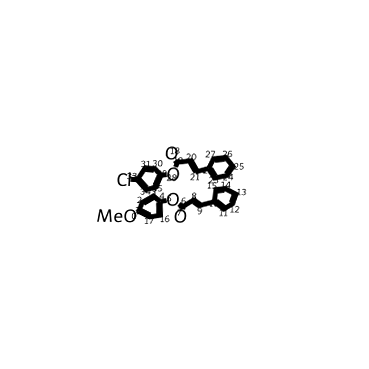 COc1ccc(OC(=O)C=Cc2ccccc2)cc1.O=C(C=Cc1ccccc1)Oc1ccc(Cl)cc1